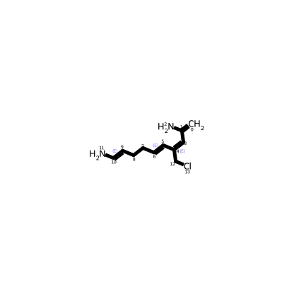 C=C(N)/C=C(\C=C\CC/C=C/N)CCl